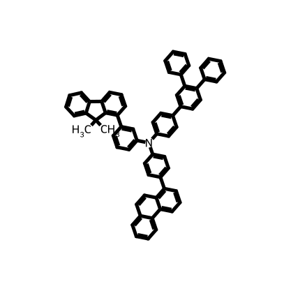 CC1(C)c2ccccc2-c2cccc(-c3cccc(N(c4ccc(-c5ccc(-c6ccccc6)c(-c6ccccc6)c5)cc4)c4ccc(-c5cccc6c5ccc5ccccc56)cc4)c3)c21